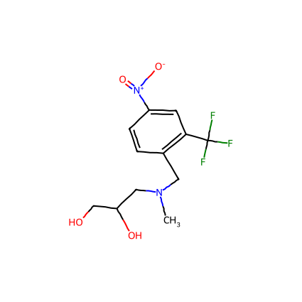 CN(Cc1ccc([N+](=O)[O-])cc1C(F)(F)F)CC(O)CO